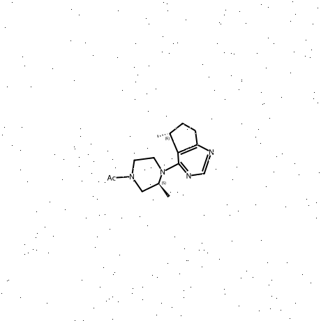 CC(=O)N1CCN(c2ncnc3c2[C@H](C)CC3)[C@@H](C)C1